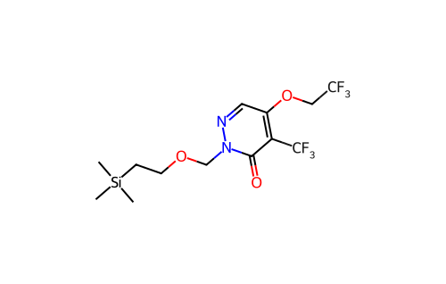 C[Si](C)(C)CCOCn1ncc(OCC(F)(F)F)c(C(F)(F)F)c1=O